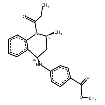 CCC(=O)N1c2ccccc2[C@H](Nc2ccc(C(=O)OC)cc2)C[C@@H]1C